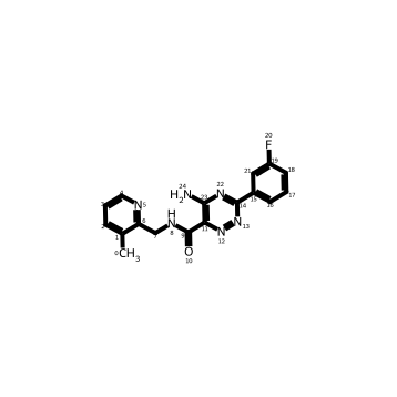 Cc1cccnc1CNC(=O)c1nnc(-c2cccc(F)c2)nc1N